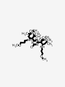 COCCCNC1CC(C)(C)N(C)C(C)(C)C1c1nc(Cl)nc(C2C(NCCCOC)CC(C)(C)N(C)C2(C)C)n1